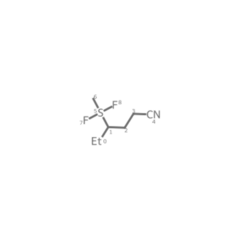 CCC(CCC#N)S(C)(F)F